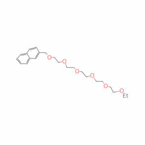 CCOCCOCCOCCOCCOCCOCc1ccc2ccccc2c1